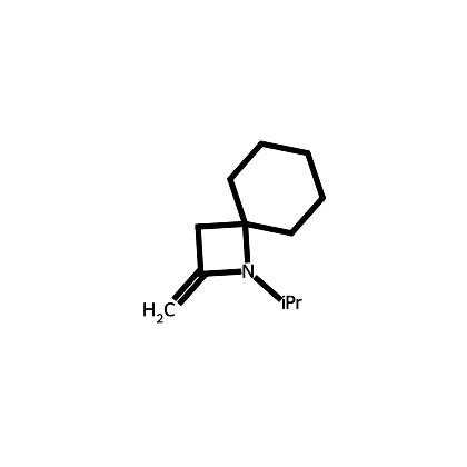 C=C1CC2(CCCCC2)N1C(C)C